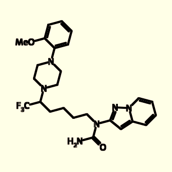 COc1ccccc1N1CCN(C(CCCCN(C(N)=O)c2cc3ccccn3n2)C(F)(F)F)CC1